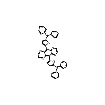 c1ccc(N(c2ccccc2)c2ccc(-c3c4nccnc4c(-c4ccc(N(c5ccccc5)c5ccccc5)s4)c4nccnc34)s2)cc1